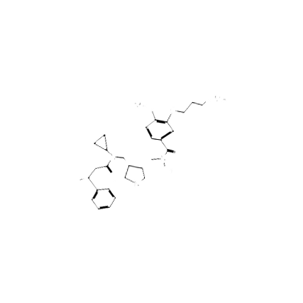 COCCCOc1cc(C(=O)N(C[C@@H]2CNC[C@H]2CN(C(=O)C[C@H](C)c2ccccc2)C2CC2)C(C)C)ccc1OC